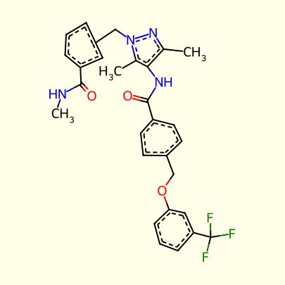 CNC(=O)c1cccc(Cn2nc(C)c(NC(=O)c3ccc(COc4cccc(C(F)(F)F)c4)cc3)c2C)c1